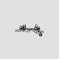 CC(C)(CO)[C@@H](O)C(=O)NCCC(=O)NCCSC1=CC(=O)c2onc(C(=O)Nc3ccccc3)c2C1=O